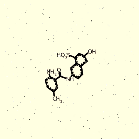 Cc1ccc(N)c(C(=O)Nc2ccc3cc(O)cc(S(=O)(=O)O)c3c2)c1